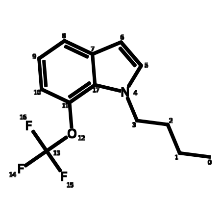 CCCCn1ccc2cccc(OC(F)(F)F)c21